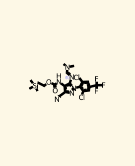 CN(C)/C=N/c1c(NC(=O)OCC[Si](C)(C)C)c(C#N)nn1-c1c(Cl)cc(C(F)(F)F)cc1Cl